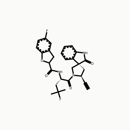 C#C[C@@H]1C[C@@]2(CN1C(=O)[C@H](CC(C)(C)F)NC(=O)C1Cc3cc(F)ccc3O1)C(=O)Nc1ccccc12